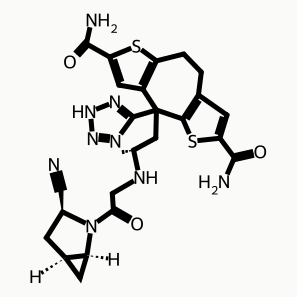 C[C@H](CC1(c2nn[nH]n2)c2cc(C(N)=O)sc2CCc2cc(C(N)=O)sc21)NCC(=O)N1[C@H](C#N)C[C@@H]2C[C@@H]21